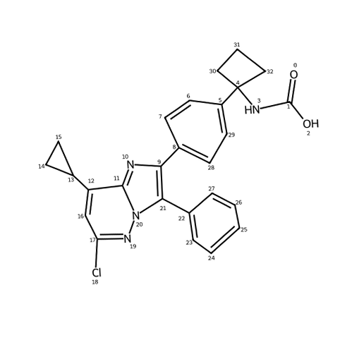 O=C(O)NC1(c2ccc(-c3nc4c(C5CC5)cc(Cl)nn4c3-c3ccccc3)cc2)CCC1